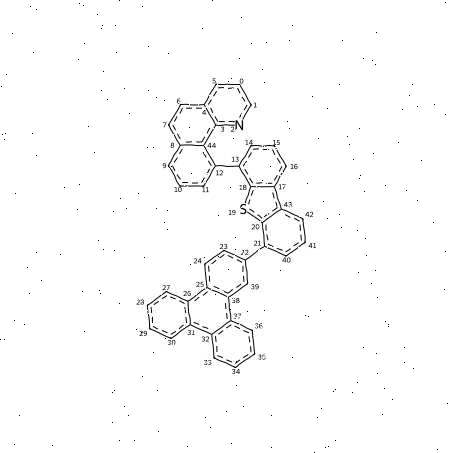 c1cnc2c(c1)ccc1cccc(-c3cccc4c3sc3c(-c5ccc6c7ccccc7c7ccccc7c6c5)cccc34)c12